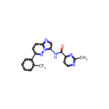 Cc1nccc(C(=O)Nc2cnc3ccc(-c4ccccc4C(F)(F)F)nn23)n1